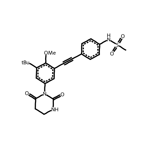 COc1c(C#Cc2ccc(NS(C)(=O)=O)cc2)cc(N2C(=O)CCNC2=O)cc1C(C)(C)C